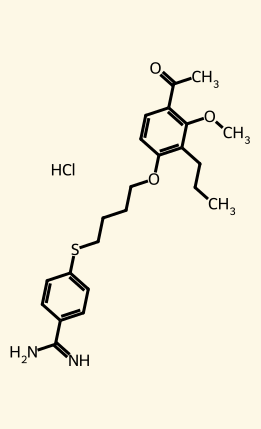 CCCc1c(OCCCCSc2ccc(C(=N)N)cc2)ccc(C(C)=O)c1OC.Cl